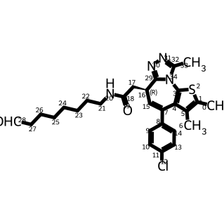 Cc1sc2c(c1C)C(c1ccc(Cl)cc1)=C[C@@H](CC(=O)NCCCCCCCC=O)c1nnc(C)n1-2